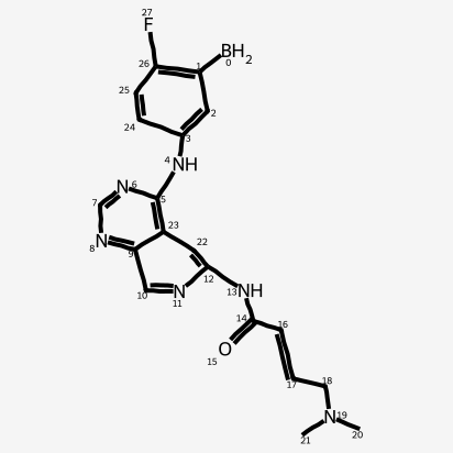 Bc1cc(Nc2ncnc3cnc(NC(=O)/C=C/CN(C)C)cc23)ccc1F